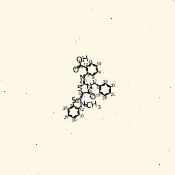 CN1/C(=C2/S/C(=N/c3ccccc3C(=O)O)N(Cc3ccccc3)C2=O)Sc2ccccc21